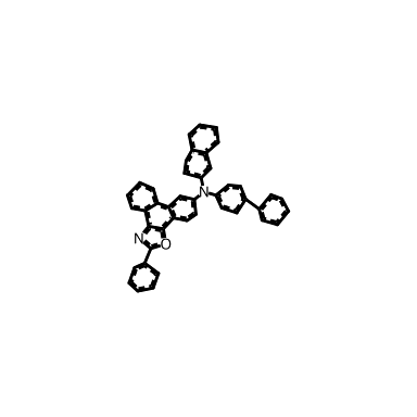 c1ccc(-c2ccc(N(c3ccc4ccccc4c3)c3ccc4c(c3)c3ccccc3c3nc(-c5ccccc5)oc43)cc2)cc1